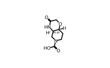 O=C1CO[C@@H]2CCN(C(=O)O)C[C@H]2N1